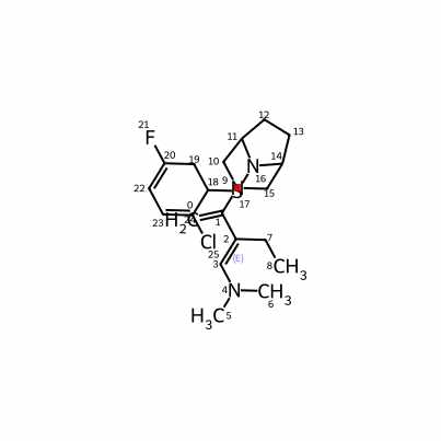 C=C(/C(=C/N(C)C)CC)N1CC2CCC(C1)N2SC1CC(F)=CC=C1Cl